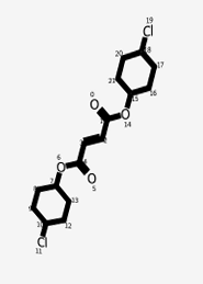 O=C(/C=C/C(=O)OC1CCC(Cl)CC1)OC1CCC(Cl)CC1